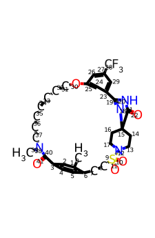 Cc1cc2ccc1CCS(=O)(=O)N1CCC3(CC1)N=C(NC3=O)c1cc(cc(C(F)(F)F)c1)OCCCCCCCN(C)C2=O